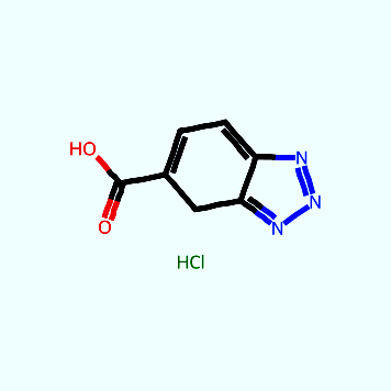 Cl.O=C(O)C1=CC=C2N=NN=C2C1